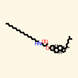 CCCCCCCCCCCCCCCCCCNC(=O)CC(C=O)O[C@H]1CC[C@@]2(C)C(=CC[C@H]3[C@@H]4CC[C@H]([C@H](C)CCCC(C)C)[C@@]4(C)CC[C@@H]32)C1